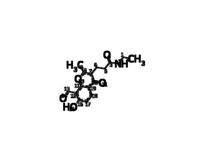 CCNC(=O)CCc1c(C)oc2c(C=O)c(O)ccc2c1=O